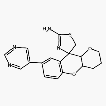 NC1=NC2(CS1)c1cc(-c3cncnc3)ccc1OC1CCCOC12